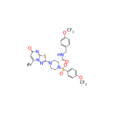 CC(C)c1cc(=O)nc2sc(N3CCN(S(=O)(=O)c4ccc(OC(F)(F)F)cc4)[C@@H](C(=O)NCc4ccc(OC(F)(F)F)cc4)C3)nn12